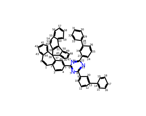 C1=Cc2ccc(-c3nc(-c4cccc(-c5ccccc5)c4)nc(-c4cccc(-c5ccccc5)c4)n3)cc2C2(c3ccccc31)c1ccccc1-c1c2ccc2ccccc12